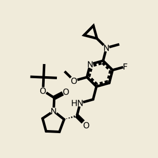 COc1nc(N(C)C2CC2)c(F)cc1CNC(=O)[C@@H]1CCCN1C(=O)OC(C)(C)C